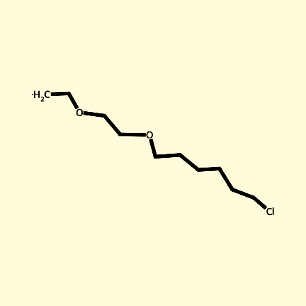 [CH2]COCCOCCCCCCCl